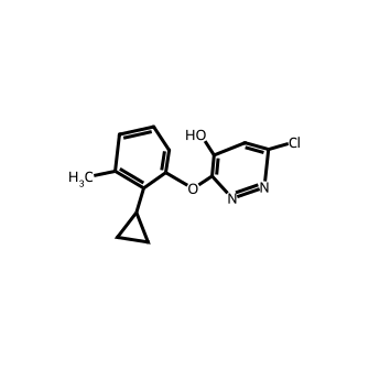 Cc1cccc(Oc2nnc(Cl)cc2O)c1C1CC1